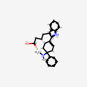 CN(C)C1(c2ccccc2)CC=C(c2[nH]c3ccccc3c2CCCC(=O)O)CC1